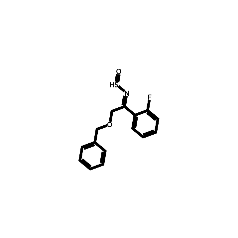 O=[SH]/N=C(\COCc1ccccc1)c1ccccc1F